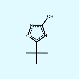 CC(C)(C)c1nc(O)no1